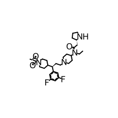 CCN(C(=O)C[C@@H]1CCCN1)C1CCN(CC[C@@H](c2cc(F)cc(F)c2)C2CCN(S(C)(=O)=O)CC2)CC1